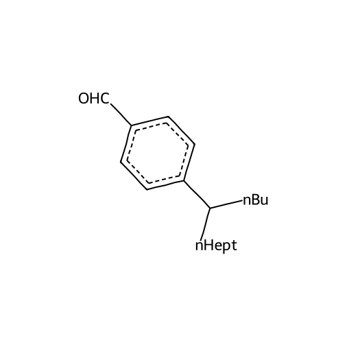 CCCCCCCC(CCCC)c1ccc(C=O)cc1